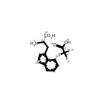 N[C@@H](Cc1csc2ccccc12)C(=O)O.O=C(O)C(F)(F)F